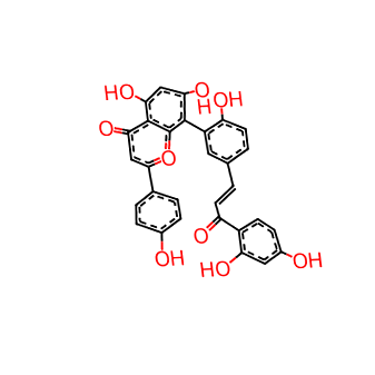 O=C(C=Cc1ccc(O)c(-c2c(O)cc(O)c3c(=O)cc(-c4ccc(O)cc4)oc23)c1)c1ccc(O)cc1O